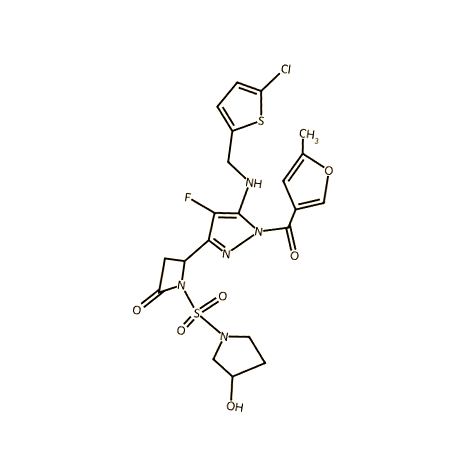 Cc1cc(C(=O)n2nc(C3CC(=O)N3S(=O)(=O)N3CCC(O)C3)c(F)c2NCc2ccc(Cl)s2)co1